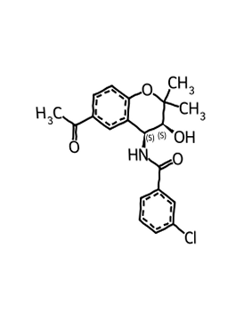 CC(=O)c1ccc2c(c1)[C@H](NC(=O)c1cccc(Cl)c1)[C@H](O)C(C)(C)O2